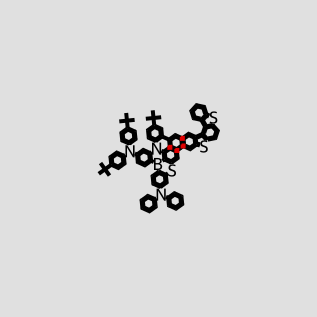 CC(C)(C)c1ccc(N(c2ccc(C(C)(C)C)cc2)c2ccc3c(c2)N(c2ccc(C(C)(C)C)cc2-c2ccccc2)c2cc(-c4ccc5c(c4)sc4ccc6sc7ccccc7c6c45)cc4c2B3c2ccc(N(c3ccccc3)c3ccccc3)cc2S4)cc1